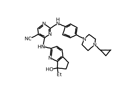 CCC1(O)CCc2ccc(Nc3nc(Nc4ccc(N5CCN(C6CC6)CC5)cc4)ncc3C#N)nc21